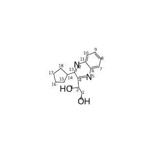 OCC(O)c1nc2ccccc2nc1C1CCCC1